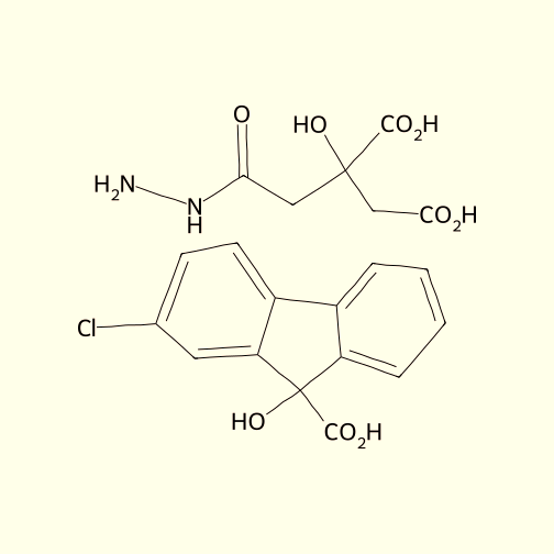 NNC(=O)CC(O)(CC(=O)O)C(=O)O.O=C(O)C1(O)c2ccccc2-c2ccc(Cl)cc21